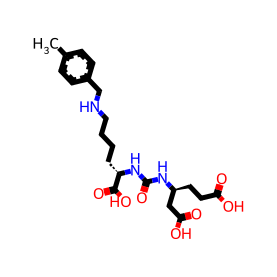 Cc1ccc(CNCCCC[C@H](NC(=O)N[C@@H](CCC(=O)O)CC(=O)O)C(=O)O)cc1